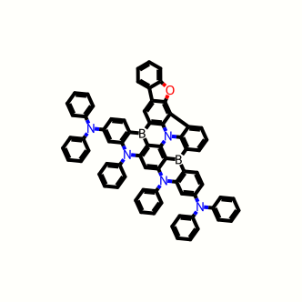 c1ccc(N(c2ccccc2)c2ccc3c(c2)N(c2ccccc2)c2cc4c5c6c2B3c2cccc3c7c8oc9ccccc9c8cc(c7n-6c23)B5c2ccc(N(c3ccccc3)c3ccccc3)cc2N4c2ccccc2)cc1